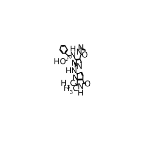 CC1(C)NC(=O)c2ccc(Nc3ncc(-c4nnco4)c(N[C@H](CO)c4ccccc4)n3)nc21